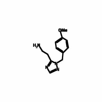 COc1ccc(Cn2ncnc2CCN)cc1